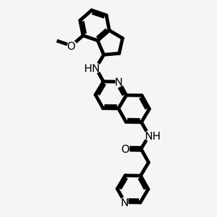 COc1cccc2c1C(Nc1ccc3cc(NC(=O)Cc4ccncc4)ccc3n1)CC2